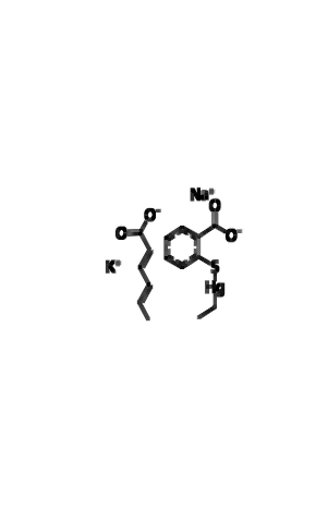 C/C=C/C=C/C(=O)[O-].C[CH2][Hg][S]c1ccccc1C(=O)[O-].[K+].[Na+]